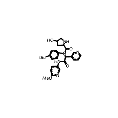 COc1ccc(NC(=O)C(c2cccnc2)N(C(=O)C2CC(O)CN2)c2ccc(C(C)(C)C)cc2)cn1